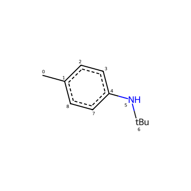 Cc1ccc(NC(C)(C)C)cc1